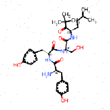 CC(C)CC[C@@H](NC(=O)[C@@H](CO)NC(=O)[C@@H](Cc1ccc(O)cc1)NC(=O)[C@H](N)Cc1ccc(O)cc1)C(=O)C(C)(C)C